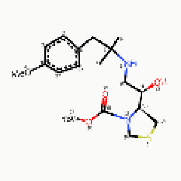 COc1ccc(CC(C)(C)NC[C@@H](O)[C@H]2CSCN2C(=O)OC(C)(C)C)cc1